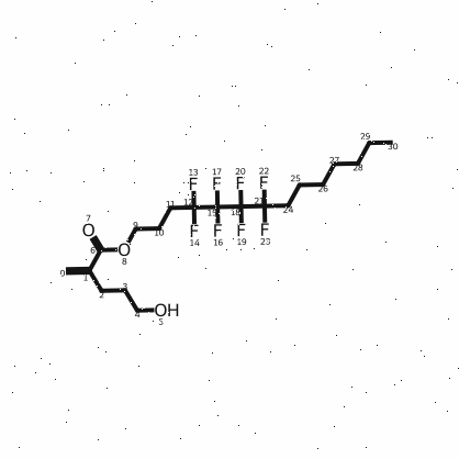 C=C(CCCO)C(=O)OCCCC(F)(F)C(F)(F)C(F)(F)C(F)(F)CCCCCCC